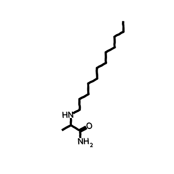 CCCCCCCCCCCCNC(C)C(N)=O